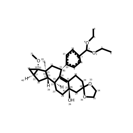 CCOC(OCC)c1ccc([C@H]2C[C@@]3(C)[C@@H](C[C@H]4C[C@]43OC)[C@@H]3CC[C@@]4(O)CC5(CCC4=C32)OCCO5)cc1